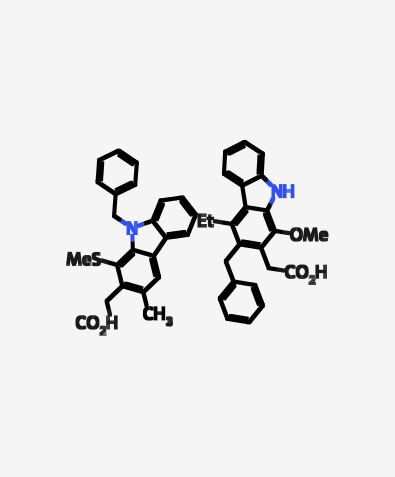 CCc1c(Cc2ccccc2)c(CC(=O)O)c(OC)c2[nH]c3ccccc3c12.CSc1c(CC(=O)O)c(C)cc2c3ccccc3n(Cc3ccccc3)c12